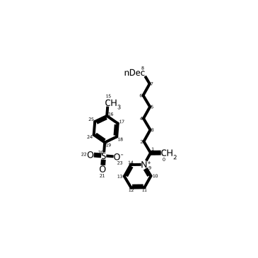 C=C(CCCCCCCCCCCCCCCC)[n+]1ccccc1.Cc1ccc(S(=O)(=O)[O-])cc1